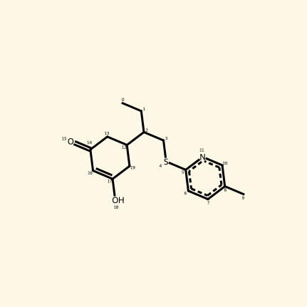 CCC(CSc1ccc(C)cn1)C1CC(=O)C=C(O)C1